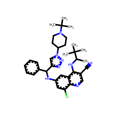 CC(Nc1c(C#N)cnc2c(Cl)cc(NC(c3ccccc3)c3cn(C4CCN(C(C)(C)C)CC4)nn3)cc12)C(C)(C)C